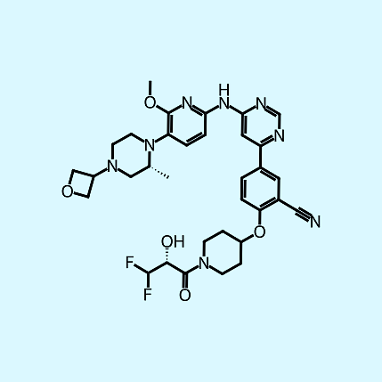 COc1nc(Nc2cc(-c3ccc(OC4CCN(C(=O)[C@@H](O)C(F)F)CC4)c(C#N)c3)ncn2)ccc1N1CCN(C2COC2)C[C@H]1C